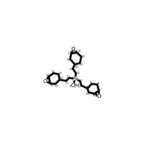 O[Si](CCC1CCC2OC2C1)(CCC1CCC2OC2C1)CCC1CCC2OC2C1